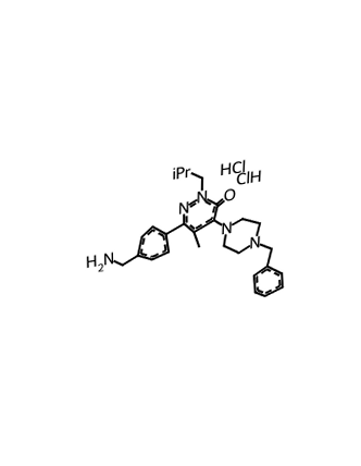 Cc1c(-c2ccc(CN)cc2)nn(CC(C)C)c(=O)c1N1CCN(Cc2ccccc2)CC1.Cl.Cl